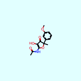 COc1cccc(C2(C)OC(NC(C)=O)=C(O)C2=O)c1